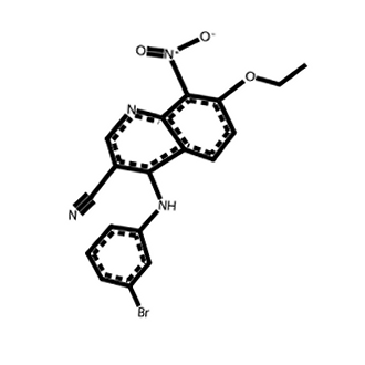 CCOc1ccc2c(Nc3cccc(Br)c3)c(C#N)cnc2c1[N+](=O)[O-]